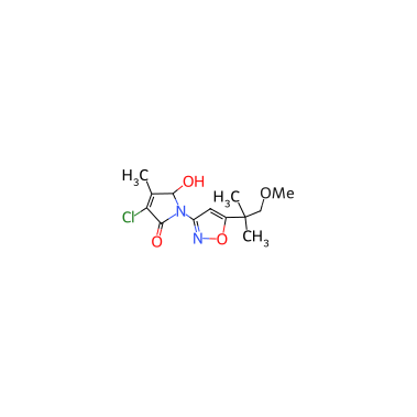 COCC(C)(C)c1cc(N2C(=O)C(Cl)=C(C)C2O)no1